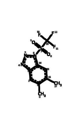 Cc1cc2nnn(S(=O)(=O)C(F)(F)F)c2cc1C